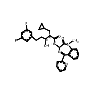 CN1C(=O)C(NC(=O)[C@H](CC2CC2)[C@@H](O)CCc2cc(F)cc(F)c2)N=C(c2ccccn2)c2ccccc21